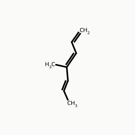 C=C/C=C(C)/C=C/C